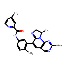 CNc1ncc2c(n1)N1C(=NC[C@H]1C)C(c1cc(NC(=O)c3cc(C(F)(F)F)ccn3)ccc1C)=C2